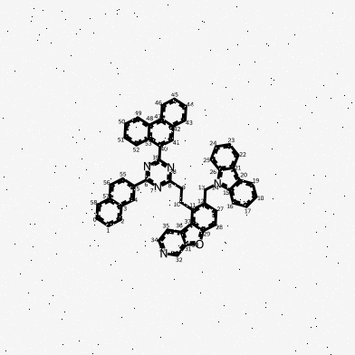 c1ccc2cc(-c3nc(CCc4c(Cn5c6ccccc6c6ccccc65)ccc5oc6cnccc6c45)nc(-c4cc5ccccc5c5ccccc45)n3)ccc2c1